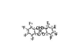 Fc1c(F)c(F)c2c(c1F)O[PH]1(O2)Oc2c(F)c(F)c(F)c(F)c2O1